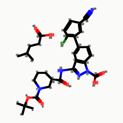 CC(C)(C)OC(=O)N1CCC[C@@H](C(=O)Nc2nn(C(=O)O)c3ccc(-c4cc(C#N)ccc4Cl)cc23)C1.CC(C)CCC(=O)O